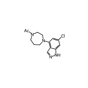 CC(=O)N1CCCN(c2cc(Cl)cc3[nH]ncc23)CC1